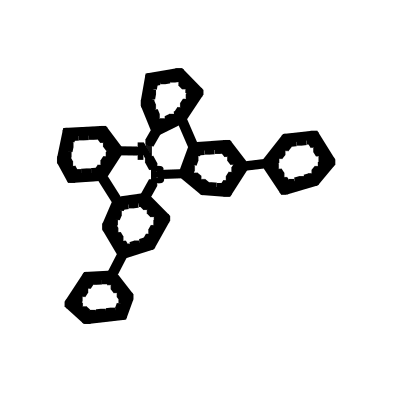 c1ccc(-c2ccc3c(c2)-c2ccccc2N2B3c3ccc(-c4ccccc4)cc3-c3ccccc32)cc1